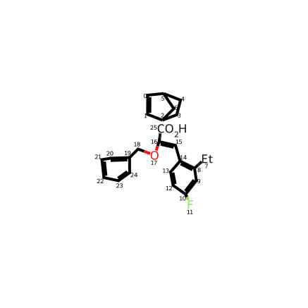 C1=CC2CCC1C2.CCc1cc(F)ccc1C=C(OCc1ccccc1)C(=O)O